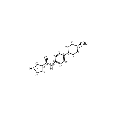 CCCCN1CCC(c2ccc(NC(=O)C3CCNC3)cc2)CC1